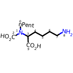 CCCCCN(C(=O)O)C(CCCCN)C(=O)O